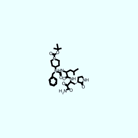 CC(C)CC(NC(=O)N(Cc1ccccc1)C1CCN(C(=O)OC(C)(C)C)CC1)C(=O)NC(C[C@@H]1CCNC1=O)C(=O)C(N)=O